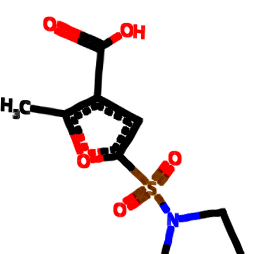 Cc1oc(S(=O)(=O)N2CCCC2)cc1C(=O)O